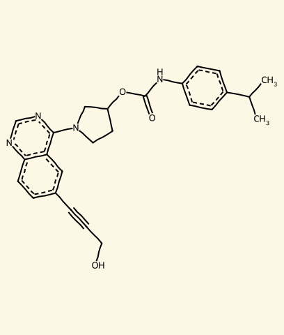 CC(C)c1ccc(NC(=O)OC2CCN(c3ncnc4ccc(C#CCO)cc34)C2)cc1